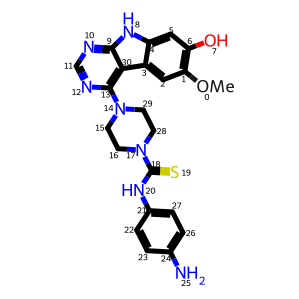 COc1cc2c(cc1O)[nH]c1ncnc(N3CCN(C(=S)Nc4ccc(N)cc4)CC3)c12